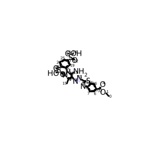 CCOC(=O)c1ccc2nc(/N=N/c3c(C)nn(-c4cc(S(=O)(=O)O)ccc4S(=O)(=O)O)c3N)sc2c1